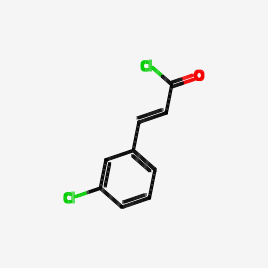 O=C(Cl)/C=C/c1cccc(Cl)c1